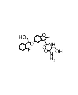 Cc1oc2ccc(OC(CO)c3ccccc3F)cc2c1C(=O)N[C@@H](CO)C(N)=O